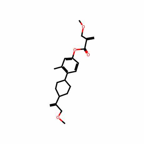 C=C(COC)C(=O)Oc1ccc(C2CCC(C(=C)COC)CC2)c(C)c1